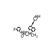 CC(c1cccc2c(C#CC3CCNCC3)cccc12)N1CCC(C(=O)NCc2cccc(F)c2)CC1